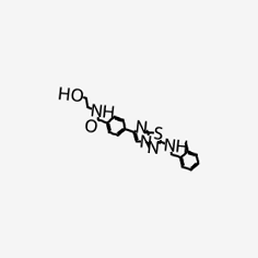 Cc1ccccc1CNc1nn2cc(-c3ccc(C(=O)NCCO)cc3)nc2s1